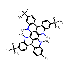 Cc1ccc2c(c1)N(C)c1c3c(c4c5c1N(C)c1cc([Si](C)(C)C)ccc1B5c1ccc([Si](C)(C)C)cc1N4C)N(C)c1cc([Si](C)(C)C)ccc1B23